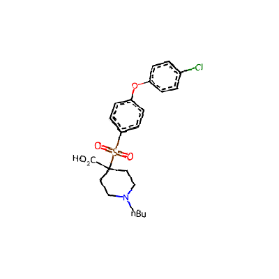 CCCCN1CCC(C(=O)O)(S(=O)(=O)c2ccc(Oc3ccc(Cl)cc3)cc2)CC1